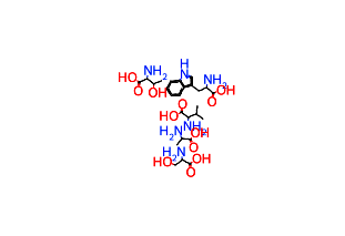 CC(C)C(N)C(=O)O.CC(N)C(=O)O.CC(O)C(N)C(=O)O.NC(CO)C(=O)O.NC(Cc1c[nH]c2ccccc12)C(=O)O